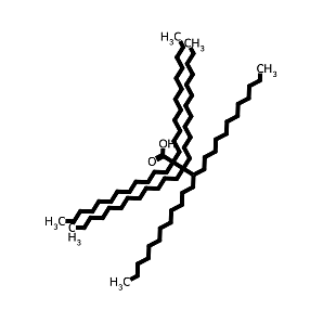 CCCCCCCCCCCCC(CCCCCCCCCCCC)C(CCCCCCCCCCCC)(CCCCCCCCCCCC)C(CCCCCCCCCCCC)(CCCCCCCCCCCC)C(=O)O